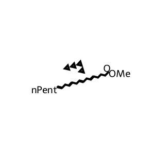 C1CC1.C1CC1.C1CC1.C1CC1.CCCCCC=CCC=CCC=CCC=CCCCC(=O)OC